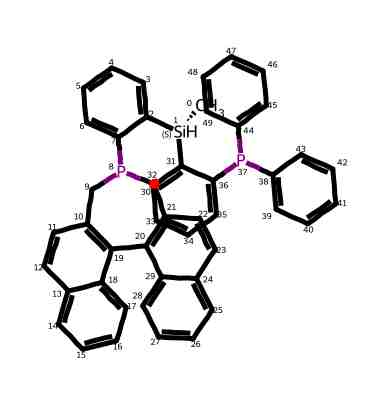 C[Si@@H](c1ccccc1P1Cc2ccc3ccccc3c2-c2c(ccc3ccccc23)C1)c1ccccc1P(c1ccccc1)c1ccccc1